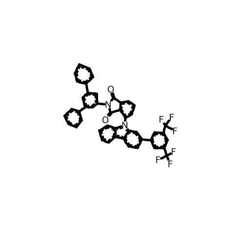 O=C1c2cccc(-n3c4ccccc4c4ccc(-c5cc(C(F)(F)F)cc(C(F)(F)F)c5)cc43)c2C(=O)N1c1cc(-c2ccccc2)cc(-c2ccccc2)c1